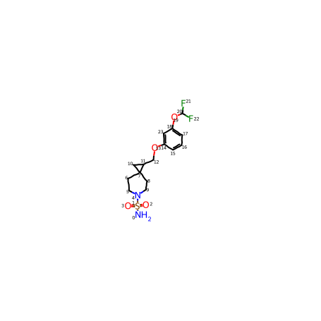 NS(=O)(=O)N1CCC2(CC1)CC2COc1cccc(OC(F)F)c1